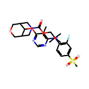 Cc1c(Nc2ccc(S(C)(=O)=O)cc2F)ncnc1OC1C2COCC1CN(C(=O)OCC(C)(C)C)C2